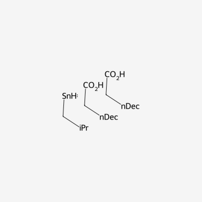 CC(C)[CH2][SnH].CCCCCCCCCCCC(=O)O.CCCCCCCCCCCC(=O)O